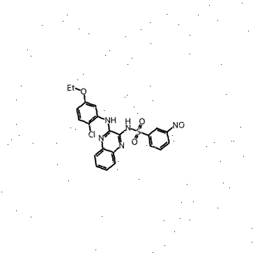 CCOc1ccc(Cl)c(Nc2nc3ccccc3nc2NS(=O)(=O)c2cccc(N=O)c2)c1